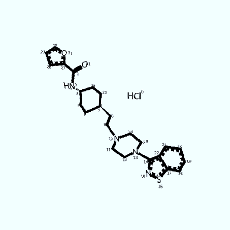 Cl.O=C(N[C@H]1CC[C@H](CCN2CCN(c3nsc4ccccc34)CC2)CC1)c1ccco1